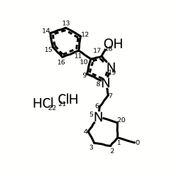 CC1CCCN(CCn2cc(-c3ccccc3)c(O)n2)C1.Cl.Cl